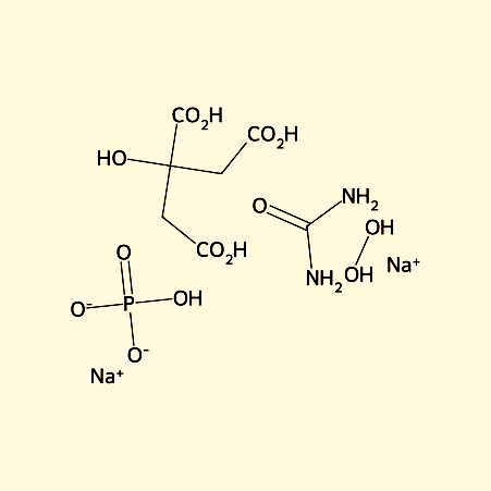 NC(N)=O.O=C(O)CC(O)(CC(=O)O)C(=O)O.O=P([O-])([O-])O.OO.[Na+].[Na+]